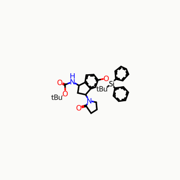 CC(C)(C)OC(=O)NC1CC(N2CCCC2=O)c2cc(O[Si](c3ccccc3)(c3ccccc3)C(C)(C)C)ccc21